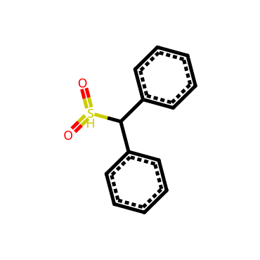 O=[SH](=O)C(c1ccccc1)c1ccccc1